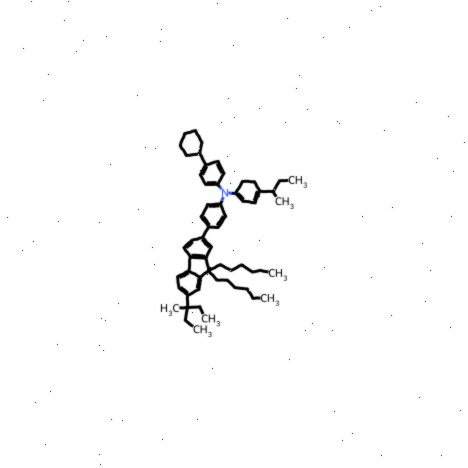 CCCCCCC1(CCCCCC)c2cc(-c3ccc(N(C4=CC=C(C(C)CC)CC4)c4ccc(C5CCCCC5)cc4)cc3)ccc2-c2ccc(C(C)(CC)CC)cc21